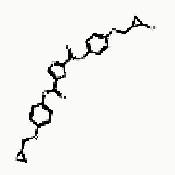 O=C(Oc1ccc(OCC2CO2)cc1)c1cnc(C(=O)Oc2ccc(OCC3CC3O)cc2)s1